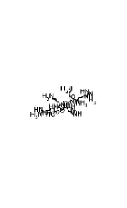 N=C(N)NCCC[C@H](NC(=O)[C@H](CCCCN)NC(=O)[C@H](Cc1c[nH]cn1)NC(=O)[C@H](CCCCN)NC(=O)[C@@H](N)CCCNC(=N)N)C(=O)O